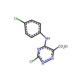 CCOC(=O)c1nnc(Cl)nc1Nc1ccc(Cl)cc1